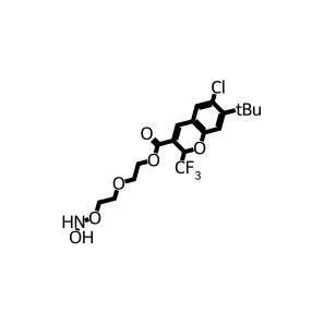 CC(C)(C)c1cc2c(cc1Cl)C=C(C(=O)OCCOCCONO)C(C(F)(F)F)O2